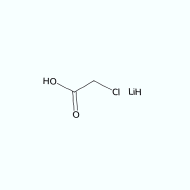 O=C(O)CCl.[LiH]